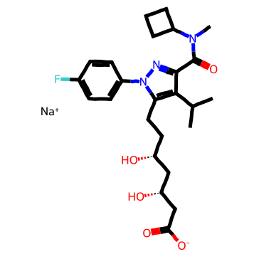 CC(C)c1c(C(=O)N(C)C2CCC2)nn(-c2ccc(F)cc2)c1CC[C@@H](O)C[C@@H](O)CC(=O)[O-].[Na+]